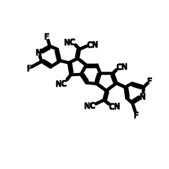 N#CC(C#N)=C1C(c2cc(F)nc(F)c2)=C(C#N)c2cc3c(cc21)C(C#N)=C(c1cc(F)nc(F)c1)C3=C(C#N)C#N